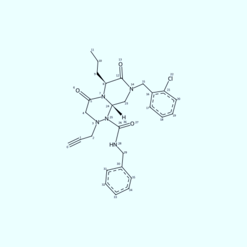 C#CCN1CC(=O)N2[C@@H](CCC)C(=O)N(Cc3ccccc3Cl)C[C@@H]2N1C(=O)NCc1ccccc1